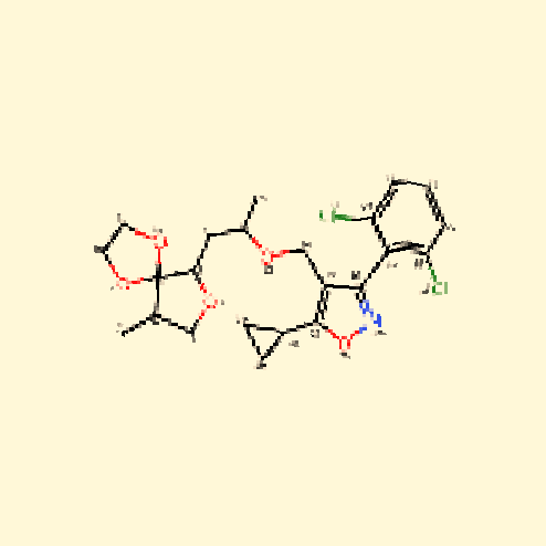 CC(CC1OCC(C)C12OCCO2)OCc1c(-c2c(Cl)cccc2Cl)noc1C1CC1